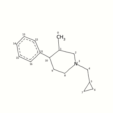 CC1CN(CC2CC2)CCC1c1ccccc1